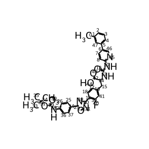 Cc1cccc(-c2ccc(NC(=O)NC(Cc3ccc(-c4noc(-c5ccc(NC(=O)OC(C)(C)C)cc5)n4)c(F)c3)C(=O)O)nc2)c1